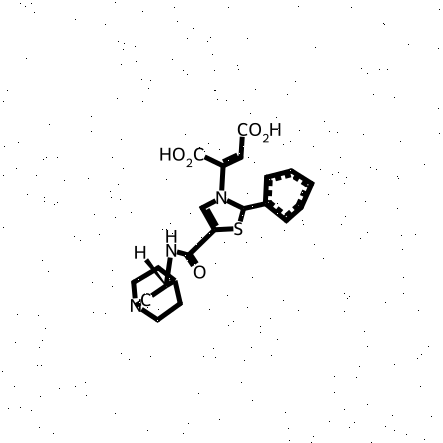 O=C(O)/C=C(\C(=O)O)N1C=C(C(=O)N[C@H]2CN3CCC2CC3)SC1c1ccccc1